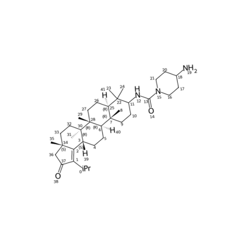 CC(C)C1=C2[C@H]3CC[C@@H]4[C@@]5(C)CCC(NC(=O)N6CCC(N)CC6)C(C)(C)[C@@H]5CC[C@@]4(C)[C@]3(C)CC[C@@]2(C)CC1=O